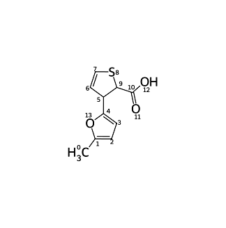 Cc1ccc(C2C=CSC2C(=O)O)o1